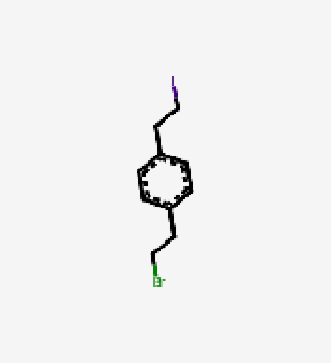 BrCCc1ccc(CCI)cc1